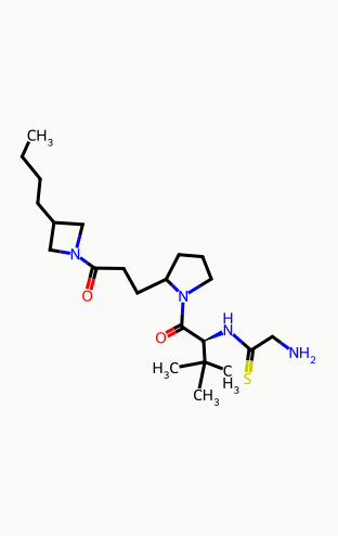 CCCCC1CN(C(=O)CCC2CCCN2C(=O)[C@@H](NC(=S)CN)C(C)(C)C)C1